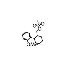 COc1ccccc1[C@@H]1CCCC[C@H]1COS(C)(=O)=O